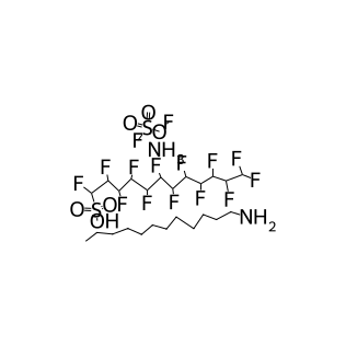 CCCCCCCCCCCCN.N.O=S(=O)(F)OF.O=S(=O)(O)C(F)C(F)C(F)C(F)C(F)C(F)C(F)C(F)C(F)C(F)C(F)C(F)F